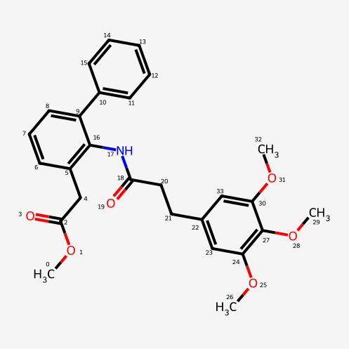 COC(=O)Cc1cccc(-c2ccccc2)c1NC(=O)CCc1cc(OC)c(OC)c(OC)c1